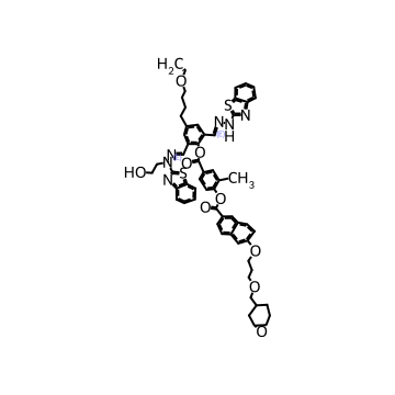 C=COCCCCc1cc(/C=N/Nc2nc3ccccc3s2)c(OC(=O)c2ccc(OC(=O)c3ccc4cc(OCCCOCC5CCC6OC6C5)ccc4c3)c(C)c2)c(/C=N/N(CCO)c2nc3ccccc3s2)c1